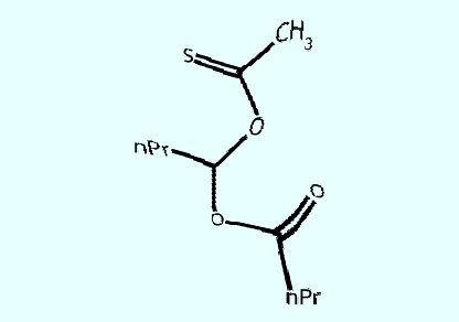 CCCC(=O)OC(CCC)OC(C)=S